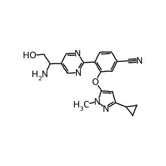 Cn1nc(C2CC2)cc1Oc1cc(C#N)ccc1-c1ncc(C(N)CO)cn1